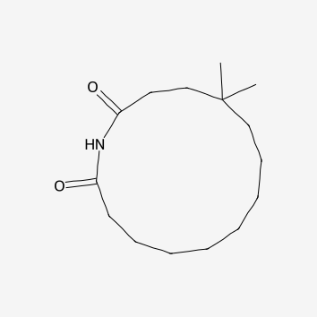 CC1(C)CCCCCCCCC(=O)NC(=O)CC1